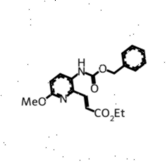 CCOC(=O)/C=C/c1nc(OC)ccc1NC(=O)OCc1ccccc1